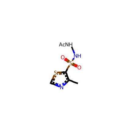 CC(=O)NNS(=O)(=O)c1scnc1C